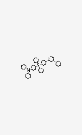 c1ccc(-c2cccc(-c3ccc([Si](c4ccccc4)(c4ccccc4)c4ccc(N(c5ccccc5)c5ccccc5)cc4)cc3)c2)cc1